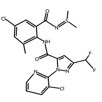 Cc1cc(Cl)cc(C(=O)N=S(C)C)c1NC(=O)c1cc(C(F)F)nn1-c1ncccc1Cl